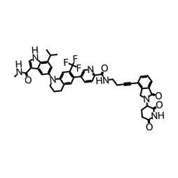 CNC(=O)c1c[nH]c2c(C(C)C)cc(N3CCCc4cc(-c5ccc(C(=O)NCCC#Cc6cccc7c6CN(C6CCC(=O)NC6=O)C7=O)nc5)c(C(F)(F)F)cc43)cc12